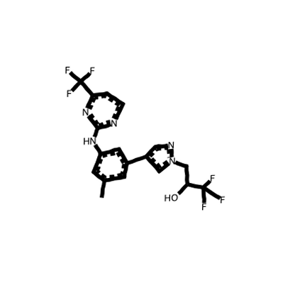 Cc1cc(Nc2nccc(C(F)(F)F)n2)cc(-c2cnn(CC(O)C(F)(F)F)c2)c1